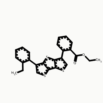 CCOC(=O)c1ccccc1-c1csc2c1sc1c(-c3ccccc3CC)csc12